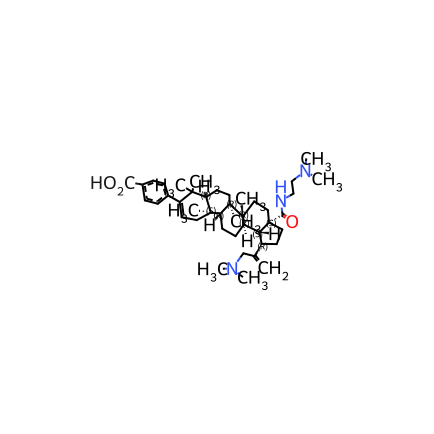 C=C(CN(C)C)[C@@H]1CC[C@]2(C(=O)NCCN(C)C)CC[C@]3(C)[C@H](CC[C@@H]4[C@@]5(C)CC=C(c6ccc(C(=O)O)cc6)C(C)(C)[C@@H]5CC[C@]43C)[C@@H]12